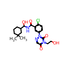 CC1(C)CCCC(C(O)NC(=O)c2cc(-n3ncc(=O)n(CCO)c3=O)ccc2Cl)C1